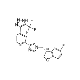 Fc1ccc2c(c1)[C@@H](Cn1cnc(-c3cc(-c4nn[nH]c4C(F)(F)F)ccn3)c1)CO2